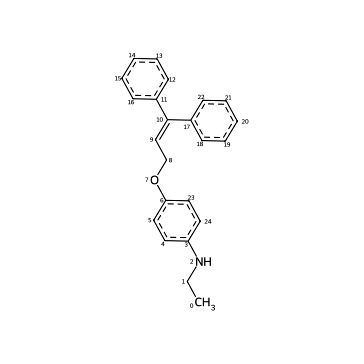 CCNc1ccc(OCC=C(c2ccccc2)c2ccccc2)cc1